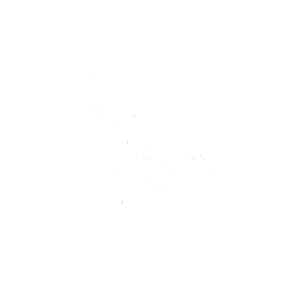 COc1ccc([C@H]2CC[C@H](CN(c3cccc(-c4cncs4)c3)C(=O)[C@H]3CC[C@H](O)CC3)CC2)cc1C